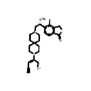 C#C/C=C(\CO)N1CCC2(CCN(C[C@H](OC)c3ccc4c(c3C)COC4=O)CC2)CC1